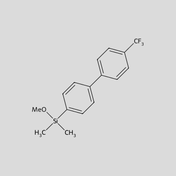 CO[Si](C)(C)c1ccc(-c2ccc(C(F)(F)F)cc2)cc1